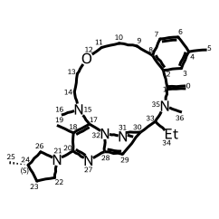 C=C1c2cc(C)ccc2CCCOCCN(C)c2c(C)c(N3CC[C@H](C)C3)nc3cc(nn23)C(CC)N1C